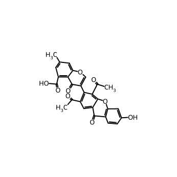 CC(=O)c1cc2c(=O)c3ccc(O)cc3oc2c(C(C)=O)c1-c1coc2cc(C)cc(C(=O)O)c2c1=O